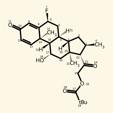 C[C@@H]1C[C@H]2[C@@H]3C[C@H](F)C4=CC(=O)C=C[C@]4(C)[C@H]3[C@@H](O)C[C@]2(C)[C@H]1C(=O)COC(=O)C(C)(C)C